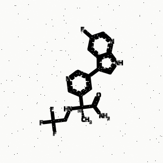 C[C@@](NCC(F)(F)F)(C(N)=O)c1cncc(-c2c[nH]c3ncc(F)cc23)c1